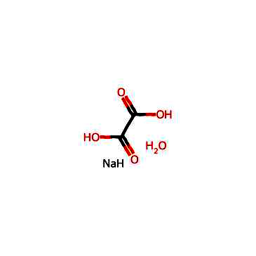 O.O=C(O)C(=O)O.[NaH]